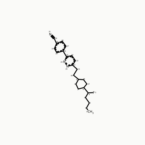 CCCCC(F)C1CCC(CCc2ccc(-c3ccc(C#N)cc3)nn2)CC1